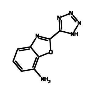 Nc1cccc2nc(-c3nnn[nH]3)oc12